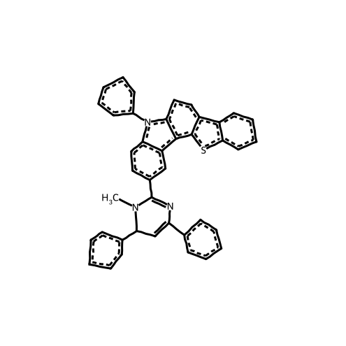 CN1C(c2ccc3c(c2)c2c4sc5ccccc5c4ccc2n3-c2ccccc2)=NC(c2ccccc2)=CC1c1ccccc1